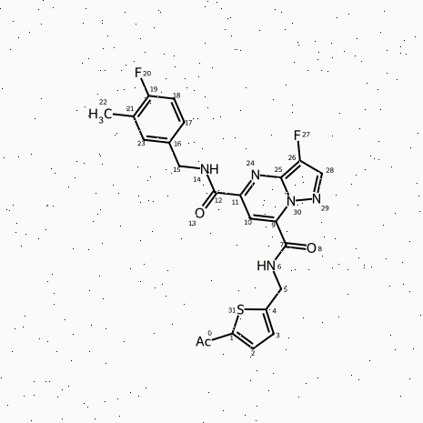 CC(=O)c1ccc(CNC(=O)c2cc(C(=O)NCc3ccc(F)c(C)c3)nc3c(F)cnn23)s1